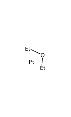 CCOCC.[Pt]